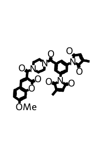 COc1ccc2cc(C(=O)N3CCN(C(=O)c4cc(N5C(=O)C=C(C)C5=O)cc(N5C(=O)C=C(C)C5=O)c4)CC3)c(=O)oc2c1